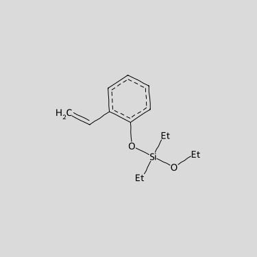 C=Cc1ccccc1O[Si](CC)(CC)OCC